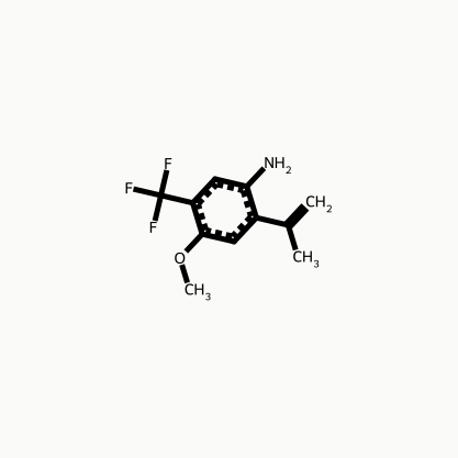 C=C(C)c1cc(OC)c(C(F)(F)F)cc1N